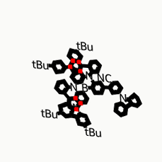 CC(C)(C)c1ccc(C(c2ccc(C(C)(C)C)cc2)c2cc3c4c(c2)N(c2ccccc2-c2ccccc2)c2cc(-n5c6ccc(C(C)(C)C)cc6c6cc(C(C)(C)C)ccc65)ccc2B4c2ccc(-c4cc(-n5c6ccccc6c6ccccc65)ccc4C#N)cc2N3c2ccccc2-c2ccccc2)cc1